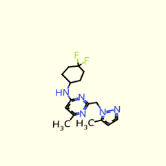 Cc1cc(NC2CCC(F)(F)CC2)nc(Cn2nccc2C)n1